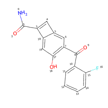 NC(=O)C1=Cc2cc(C(=O)c3ccccc3F)c(O)cc21